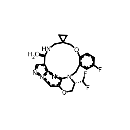 C=C1NCC2(CC2)COc2ccc(F)cc2CN2c3nc4c1cnn4cc3OC[C@H]2C(F)F